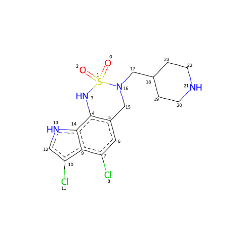 O=S1(=O)Nc2c(cc(Cl)c3c(Cl)c[nH]c23)CN1CC1CCNCC1